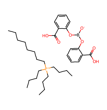 CCCCCCCC[P+](CCCC)(CCCC)CCCC.O=C(O)c1ccccc1OB([O-])Oc1ccccc1C(=O)O